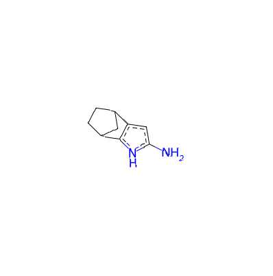 Nc1cc2c([nH]1)C1CCC2C1